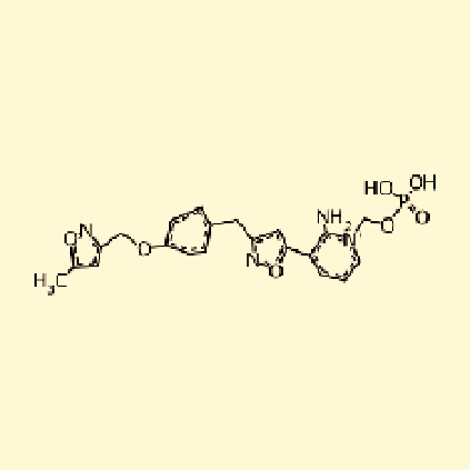 Cc1cc(COc2ccc(Cc3cc(-c4ccc[n+](COP(=O)(O)O)c4N)on3)cc2)no1